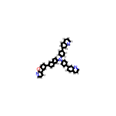 c1cnc2cc(-c3ccc(N(c4ccc(-c5ccc6cccnc6c5)cc4)c4ccc5cc(-c6ccc7oc8ncccc8c7c6)ccc5c4)cc3)ccc2c1